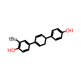 CC(C)(C)c1cc(C2=CCC(c3ccc(O)cc3)C=C2)ccc1O